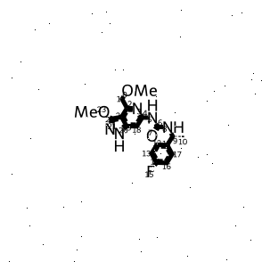 COCc1nc(NC(=O)N[C@H](C)c2ccc(F)cc2)cc2[nH]nc(OC)c12